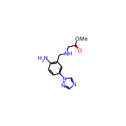 COC(=O)CNCc1cc(-n2cncn2)ccc1N